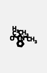 CCn1c(C)c(C(C)=O)c2ccccc21